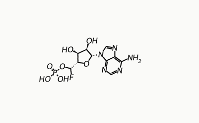 Nc1ncnc2c1ncn2[C@@H]1O[C@H](C(F)OP(=O)(O)O)[C@@H](O)[C@H]1O